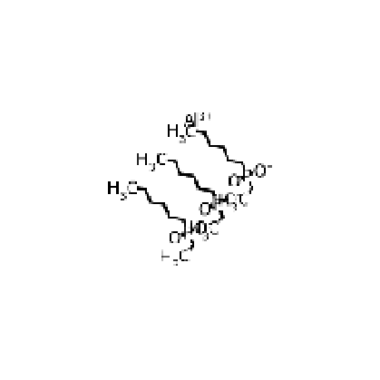 CCCCCCP(=O)([O-])CC.CCCCCCP(=O)([O-])CC.CCCCCCP(=O)([O-])CC.[Al+3]